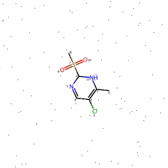 CC1=C(Cl)C=N[C](S(C)(=O)=O)N1